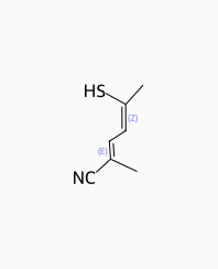 C/C(S)=C/C=C(\C)C#N